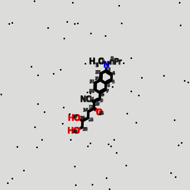 CCCN(C)c1ccc2cc(/C=C(\C#N)C(=O)CCC(O)CO)ccc2c1